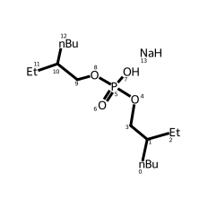 CCCCC(CC)COP(=O)(O)OCC(CC)CCCC.[NaH]